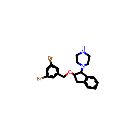 Brc1cc(Br)cc(COC2Cc3ccccc3C2N2CCNCC2)c1